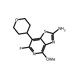 COc1nc(F)c(C2CCOCC2)c2sc(N)nc12